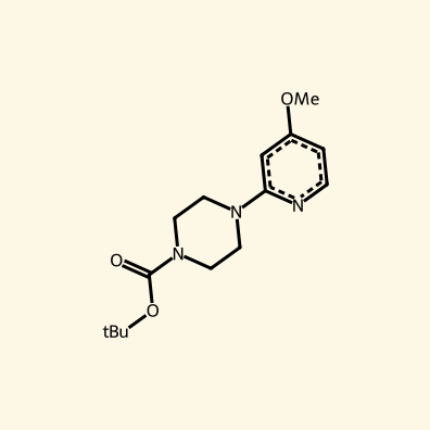 COc1ccnc(N2CCN(C(=O)OC(C)(C)C)CC2)c1